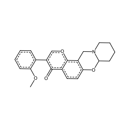 COc1ccccc1-c1coc2c3c(ccc2c1=O)OC1CCCCN1C3